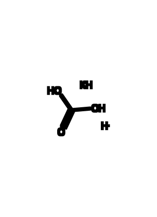 O=C(O)O.[H].[KH]